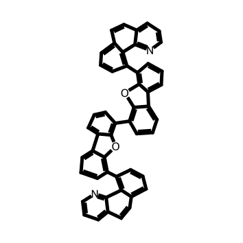 c1cnc2c(c1)ccc1cccc(-c3cccc4c3oc3c(-c5cccc6c5oc5c(-c7cccc8ccc9cccnc9c78)cccc56)cccc34)c12